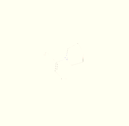 C/C=C(/C(C)C)N1CCOCC1